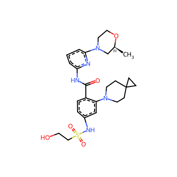 C[C@H]1CN(c2cccc(NC(=O)c3ccc(NS(=O)(=O)CCO)cc3N3CCC4(CC3)CC4)n2)CCO1